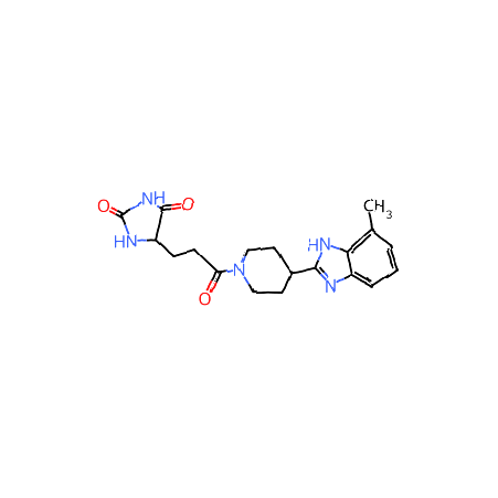 Cc1cccc2nc(C3CCN(C(=O)CCC4NC(=O)NC4=O)CC3)[nH]c12